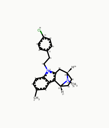 Cc1ccc2c(c1)c1c(n2CCc2ccc(Cl)cc2)C[C@@H]2CC[C@H]1N2C